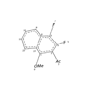 COc1c(C(C)=O)c(F)c(F)c2ccccc12